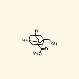 COC(=O)C12C[C@@H]3C[C@@H](CC(CO)(C3)C1)C2